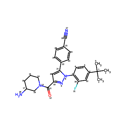 CC(C)(C)c1ccc(-n2nc(C(=O)N3CCCC(N)C3)cc2-c2ccc(C#N)cc2)c(F)c1